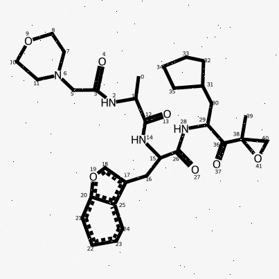 CC(NC(=O)CN1CCOCC1)C(=O)NC(Cc1coc2ccccc12)C(=O)NC(CC1CCCC1)C(=O)C1(C)CO1